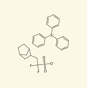 O=S(=O)([O-])C(F)(F)CC1CC2CCC1C2.c1ccc([S+](c2ccccc2)c2ccccc2)cc1